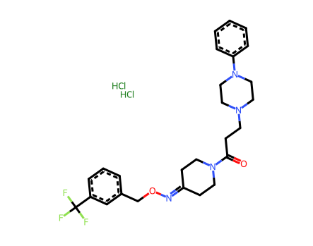 Cl.Cl.O=C(CCN1CCN(c2ccccc2)CC1)N1CCC(=NOCc2cccc(C(F)(F)F)c2)CC1